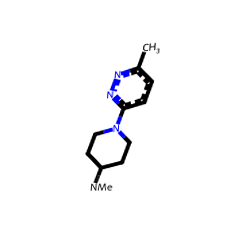 CNC1CCN(c2ccc(C)nn2)CC1